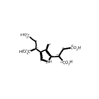 Cc1c(C(CC(=O)O)C(=O)O)c[nH]c1C(CC(=O)O)C(=O)O